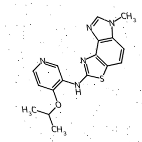 CC(C)Oc1ccncc1Nc1nc2c(ccc3c2ncn3C)s1